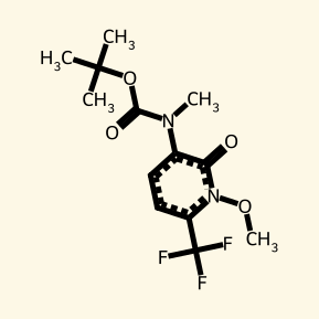 COn1c(C(F)(F)F)ccc(N(C)C(=O)OC(C)(C)C)c1=O